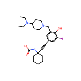 CCN(CC)C1CCN(Cc2cc(C#CC3(NC(=O)O)CCCCC3)cc(I)c2O)CC1